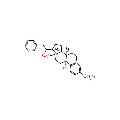 C[C@]12CC[C@@H]3c4ccc(C(=O)O)cc4CC[C@H]3[C@@H]1CC[C@@H]2C(O)Cc1ccccc1